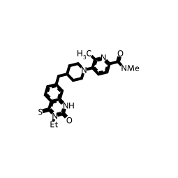 CCn1c(=O)[nH]c2cc(CC3CCN(c4ccc(C(=O)NC)nc4C)CC3)ccc2c1=S